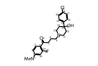 CNc1ccc(C(=O)CCCN2CCC(O)(c3ccc(Cl)cc3)CC2)c(F)c1